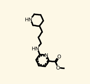 COC(=O)c1cccc(NCCCC2CCCNC2)n1